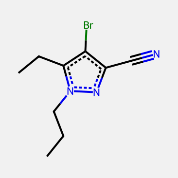 CCCn1nc(C#N)c(Br)c1CC